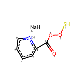 O=C(OOS)c1ccccn1.[NaH]